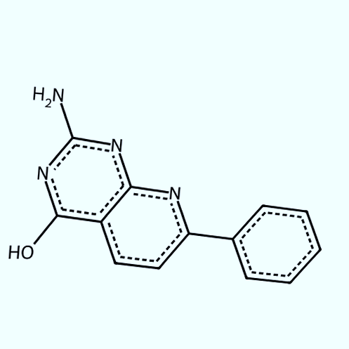 Nc1nc(O)c2ccc(-c3ccccc3)nc2n1